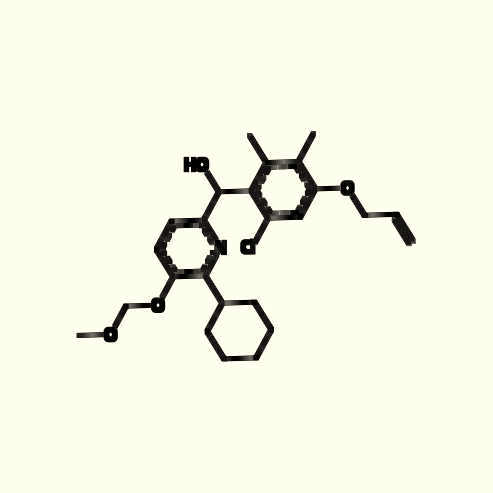 C=CCOc1cc(Cl)c(C(O)c2ccc(OCOC)c(C3CCCCC3)n2)c(C)c1C